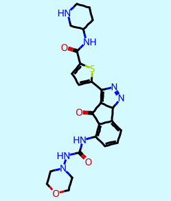 O=C(Nc1cccc2c1C(=O)C1=C(c3ccc(C(=O)NC4CCCNC4)s3)N=NC12)NN1CCOCC1